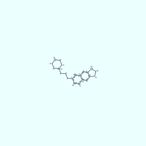 c1c2c(cc3nc(CCCN4CCOCC4)nnc13)OCC2